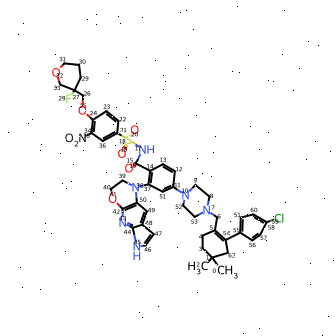 CC1(C)CCC(CN2CCN(c3ccc(C(=O)NS(=O)(=O)c4ccc(OCC5(F)CCCOC5)c([N+](=O)[O-])c4)c(N4CCOc5nc6[nH]ccc6cc54)c3)CC2)=C(c2ccc(Cl)cc2)C1